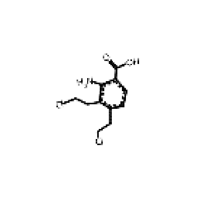 Nc1c(C(=O)O)ccc(CCCl)c1CCCl